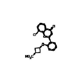 O=C(O)C1CC(Oc2ccccc2-c2cc(=O)c3cccc(Cl)c3o2)C1